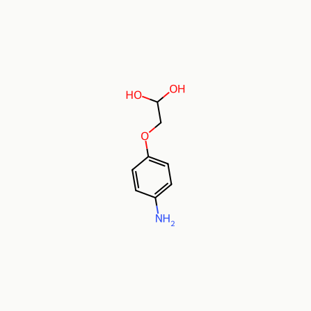 Nc1ccc(OCC(O)O)cc1